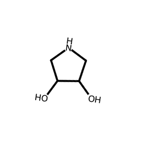 OC1CNCC1O